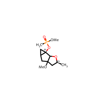 COC12CC3C[C@]3(OP(C)(=O)OC)C1O[C@@H](C)C2